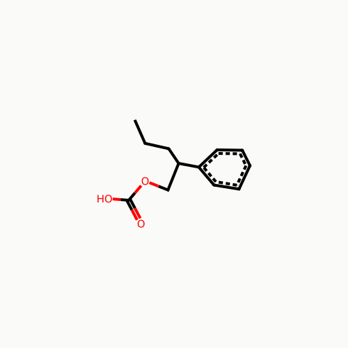 CCCC(COC(=O)O)c1ccccc1